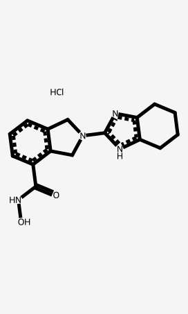 Cl.O=C(NO)c1cccc2c1CN(c1nc3c([nH]1)CCCC3)C2